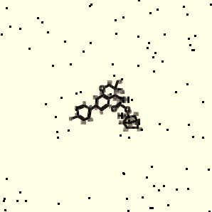 Cc1ccc(-c2ccc3c(c2)OCC(C)(C)C3NC(=O)O[C@H]2CN3CCC2CC3)cc1